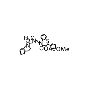 COc1ccc(C2Sc3ccccc3N(CCN(C)CC(=O)N3CCc4ccccc4C3)C(=O)C2OC(C)=O)cc1